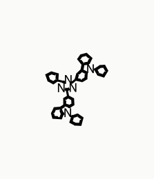 c1ccc(-c2nc(-c3ccc4c(c3)c3ccccc3n4-c3ccccc3)nc(-c3ccc4c(c3)c3ccccc3n4-c3ccccc3)n2)cc1